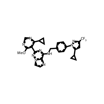 COc1ncnc(C2CC2)c1-c1nc(NCc2ccc(-n3nc(C(F)(F)F)cc3C3CC3)cc2)c2nccn2n1